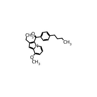 CCCCc1ccc(C(=O)c2c(CC)cc3c(OC)cccn23)cc1